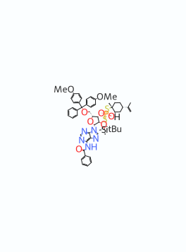 C=C(C)[C@H]1CC[C@@]2(C)S[P@@](=S)(O[C@H]3[C@@H](O[Si](C)(C)C(C)(C)C)[C@H](n4cnc5c(NC(=O)c6ccccc6)ncnc54)O[C@@H]3COC(c3ccccc3)(c3ccc(OC)cc3)c3ccc(OC)cc3)O[C@@H]2C1